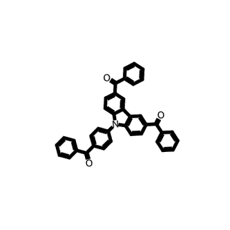 O=C(c1ccccc1)c1ccc(-n2c3ccc(C(=O)c4ccccc4)cc3c3cc(C(=O)c4ccccc4)ccc32)cc1